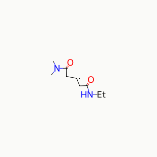 CCNC(=O)C[CH]CC(=O)N(C)C